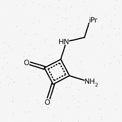 CC(C)CNc1c(N)c(=O)c1=O